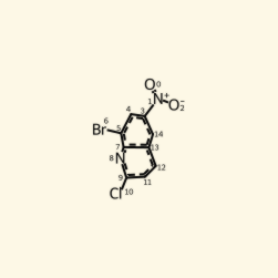 O=[N+]([O-])c1cc(Br)c2nc(Cl)ccc2c1